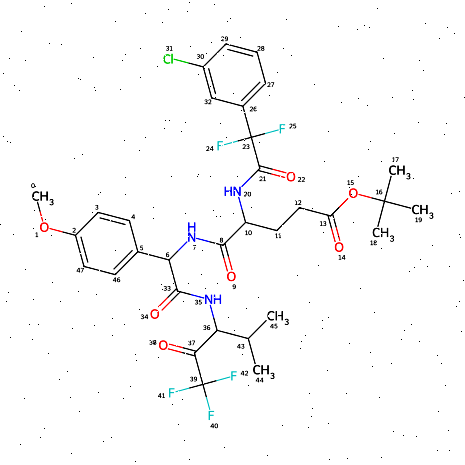 COc1ccc(C(NC(=O)C(CCC(=O)OC(C)(C)C)NC(=O)C(F)(F)c2cccc(Cl)c2)C(=O)NC(C(=O)C(F)(F)F)C(C)C)cc1